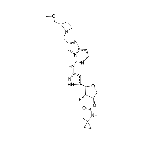 COCC1CCN1Cc1cn2c(Nc3cc([C@H]4OC[C@@H](OC(=O)NC5(C)CC5)[C@H]4F)[nH]n3)nccc2n1